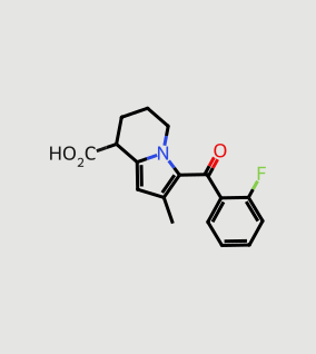 Cc1cc2n(c1C(=O)c1ccccc1F)CCCC2C(=O)O